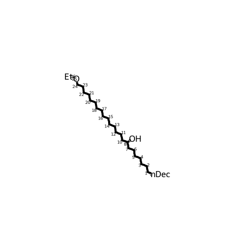 CCCCCCCCCCCCCCCCCC(O)CCCCCCCCCCCCCCCOCC